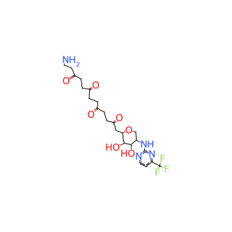 NCCC(=O)CCC(=O)CCC(=O)CCC(=O)CC1OCC(Nc2nccc(C(F)(F)F)n2)C(O)C1O